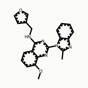 COc1cccc2c(NCc3ccoc3)nc(-n3c(C)nc4ccccc43)nc12